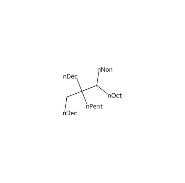 CCCCCCCCCCCC(CCCCC)(CCCCCCCCCC)[C](CCCCCCCC)CCCCCCCCC